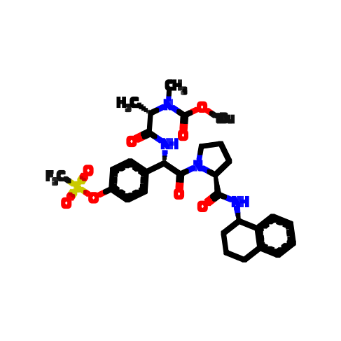 C[C@@H](C(=O)N[C@H](C(=O)N1CCC[C@H]1C(=O)N[C@@H]1CCCc2ccccc21)c1ccc(OS(=O)(=O)C(F)(F)F)cc1)N(C)C(=O)OC(C)(C)C